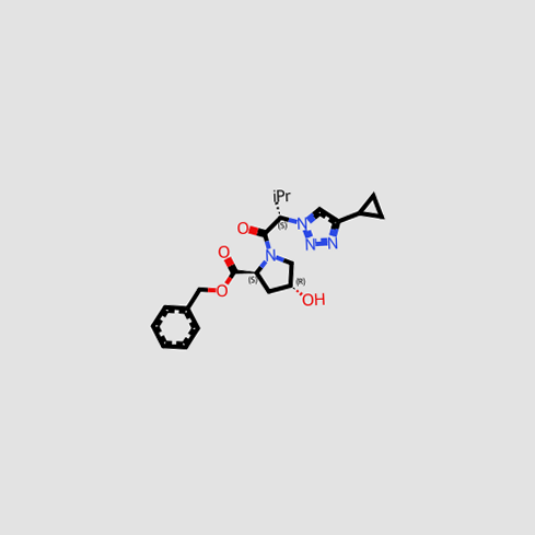 CC(C)[C@@H](C(=O)N1C[C@H](O)C[C@H]1C(=O)OCc1ccccc1)n1cc(C2CC2)nn1